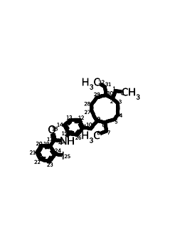 CCC1CCCC(CC)C(Cc2cccc(NC(=O)c3ccccc3I)c2)CCCC1CC